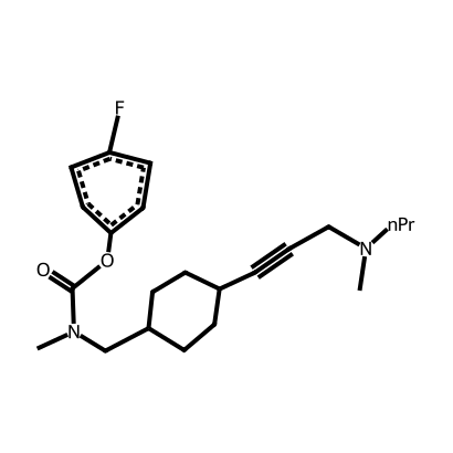 CCCN(C)CC#CC1CCC(CN(C)C(=O)Oc2ccc(F)cc2)CC1